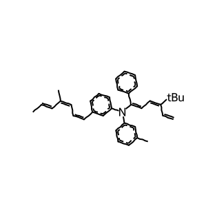 C=C/C(=C\C=C(/c1ccccc1)N(c1cccc(C)c1)c1cccc(\C=C/C=C(C)\C=C\C)c1)C(C)(C)C